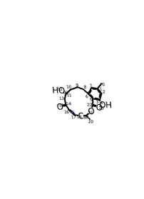 Cc1cc(O)c2c(c1)CCC[C@H](O)CC(=O)/C=C\C[C@H](C)OC2=O